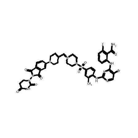 Cc1cc(S(=O)(=O)N2CCN(CC3CCN(c4ccc5c(c4)C(=O)N(N4CCC(=O)NC4=O)C5=O)CC3)CC2)ccc1Nc1ncc(Br)c(Nc2cccc(F)c2C(N)=O)n1